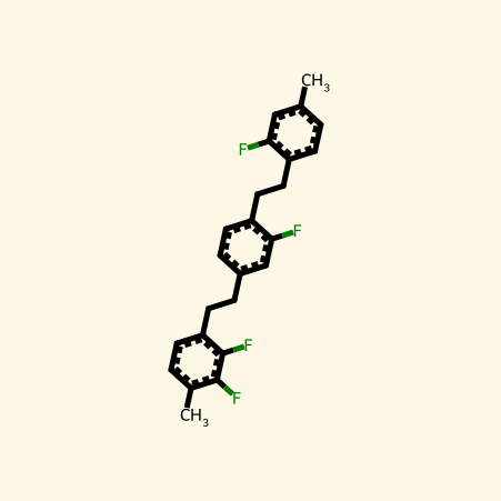 Cc1ccc(CCc2ccc(CCc3ccc(C)c(F)c3F)cc2F)c(F)c1